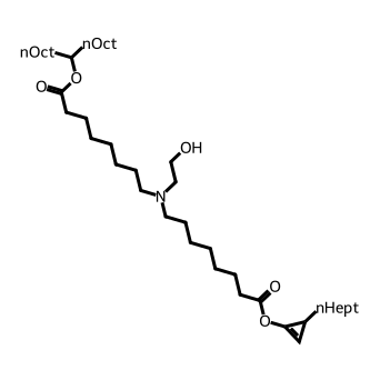 CCCCCCCCC(CCCCCCCC)OC(=O)CCCCCCCN(CCO)CCCCCCCC(=O)OC1=CC1CCCCCCC